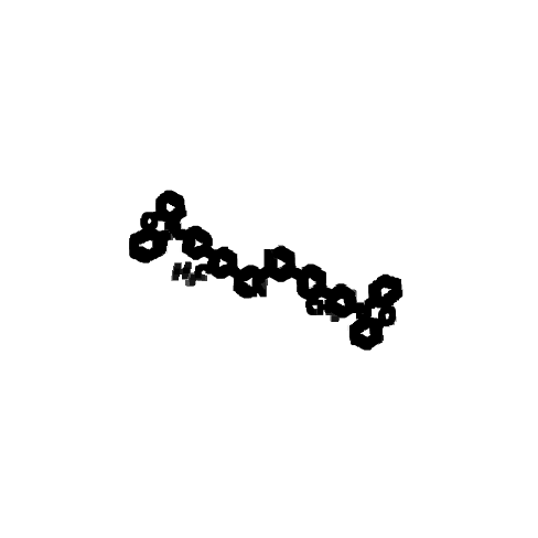 Cc1cc(-c2ccnc(-c3cc(-c4ccc(-c5ccc(N6c7ccccc7Oc7ccccc76)cc5)c(C)c4)ccn3)c2)ccc1-c1ccc(N2c3ccccc3Oc3ccccc32)cc1